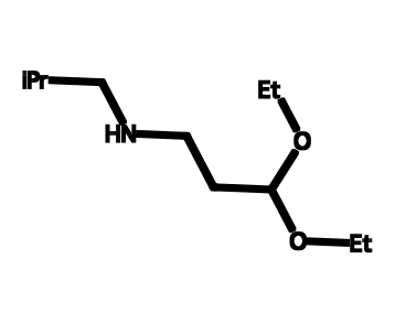 CCOC(CCNCC(C)C)OCC